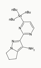 CCC[CH2][Sn]([CH2]CCC)([CH2]CCC)[c]1ccnc(-c2nn3c(c2N)CCC3)n1